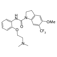 COc1cc2c(cc1C(F)(F)F)N(C(=O)Nc1ccccc1OCCN(C)C)CC2